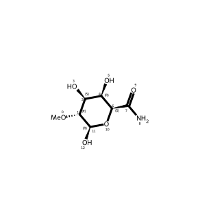 CO[C@@H]1[C@@H](O)[C@@H](O)[C@@H](C(N)=O)O[C@H]1O